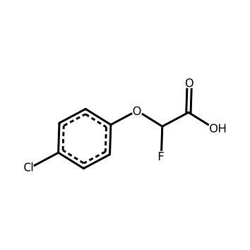 O=C(O)C(F)Oc1ccc(Cl)cc1